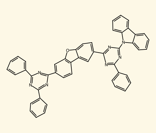 c1ccc(-c2nc(-c3ccccc3)nc(-c3ccc4c(c3)oc3ccc(-c5nc(-c6ccccc6)nc(-n6c7ccccc7c7ccccc76)n5)cc34)n2)cc1